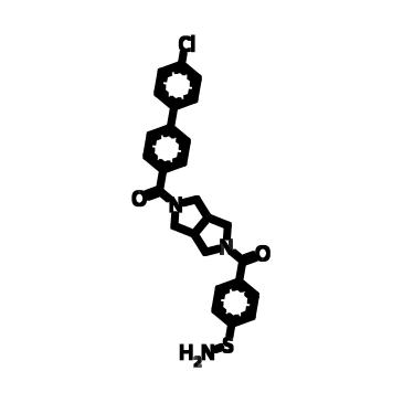 NSc1ccc(C(=O)N2CC3CN(C(=O)c4ccc(-c5ccc(Cl)cc5)cc4)CC3C2)cc1